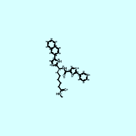 CNC(=O)CCCCC[C@H](NC(=O)c1csc(-c2cccnc2)n1)c1ncc(-c2ccc3ccccc3c2)[nH]1